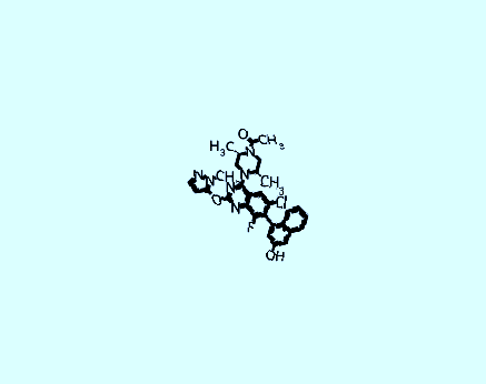 CC(=O)N1C[C@H](C)N(c2nc(Oc3ccnn3C)nc3c(F)c(-c4cc(O)cc5ccccc45)c(Cl)cc23)C[C@H]1C